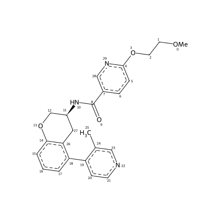 COCCOc1ccc(C(=O)N[C@@H]2COc3cccc(-c4ccncc4C)c3C2)cn1